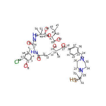 COc1ccc(C[C@H]2NC(=O)/C=C/C[C@@H]([C@H](C)[C@H]3O[C@@H]3c3ccc(CN4CCN(CC(C)(C)S)CC4)cc3)OC(=O)[C@H](CC(C)C)OC(=O)C(C)(C)CNC2=O)cc1Cl